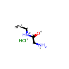 CCCCNC(=O)CN.Cl